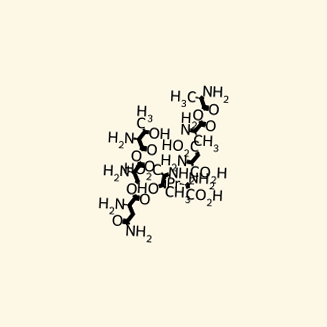 CC(C)[C@H](N)C(=O)O.C[C@@H](O)[C@H](N)C(=O)O.C[C@@H](O)[C@H](N)C(=O)OC(=O)[C@@H](N)COC(=O)[C@@H](N)CC(N)=O.C[C@H](N)C(=O)OC(=O)[C@H](C)N.N[C@@H](CC(=O)O)C(=O)O